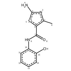 Cc1nc(N)sc1C(=O)Nc1ccccc1Cl